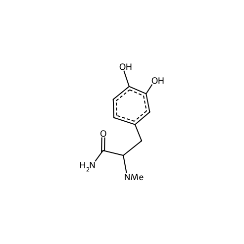 CNC(Cc1ccc(O)c(O)c1)C(N)=O